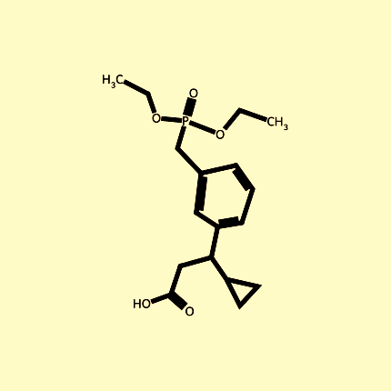 CCOP(=O)(Cc1cccc(C(CC(=O)O)C2CC2)c1)OCC